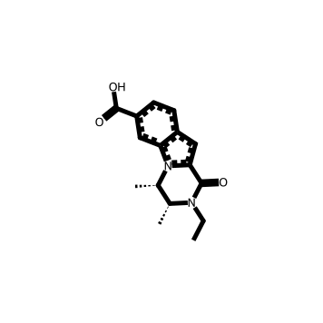 CCN1C(=O)c2cc3ccc(C(=O)O)cc3n2[C@@H](C)[C@H]1C